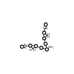 CCC1(CC)c2cc(-c3ccc(-c4cccc(N)c4-c4ccc(-c5ccc6c(c5)C(CC)(CC)c5cc(-c7nc8ccccc8s7)ccc5-6)cc4)cc3)ccc2-c2ccc(-c3nc4ccccc4s3)cc21